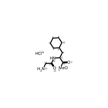 COC(=O)C(CC1CCCCC1)NC(=O)CN.Cl